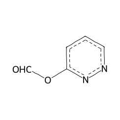 O=COc1cccnn1